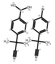 CC(C)(C#N)c1ccc(B(O)O)cn1.CC(C)(C#N)c1ccc(Br)cn1